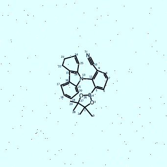 CC1(C)OB(c2cccc(C#N)c2-n2c3c(c4ccccc42)CCC=C3)OC1(C)C